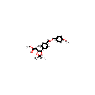 COC(=O)[C@H](C)[C@H]1OC(C)(C)O[C@@H]1c1ccc(COCc2ccc(OC)cc2)cc1